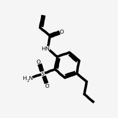 C=CC(=O)Nc1ccc(CCC)cc1S(N)(=O)=O